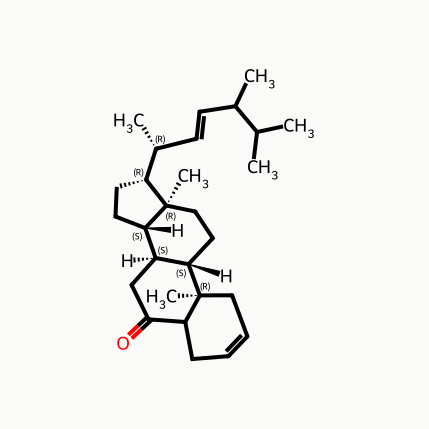 CC(C)C(C)C=C[C@@H](C)[C@H]1CC[C@H]2[C@@H]3CC(=O)C4CC=CC[C@]4(C)[C@H]3CC[C@]12C